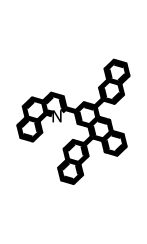 c1ccc2cc(-c3cc(-c4ccc5ccc6ccccc6c5n4)cc4c(-c5ccc6ccccc6c5)c5ccccc5cc34)ccc2c1